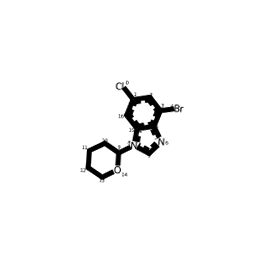 Clc1cc(Br)c2ncn(C3CCCCO3)c2c1